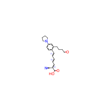 N#C\C(=C/C=C/C=C/c1ccc(N2CCCC2)cc1CCCC=O)C(=O)O